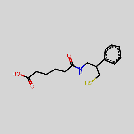 O=C(O)CCCCC(=O)NCC(CS)c1ccccc1